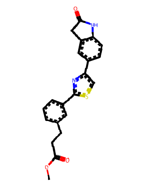 COC(=O)CCc1cccc(-c2nc(-c3ccc4c(c3)CC(=O)N4)cs2)c1